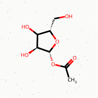 CC(=O)O[C@H]1O[C@@H](CO)C(O)[C@@H]1O